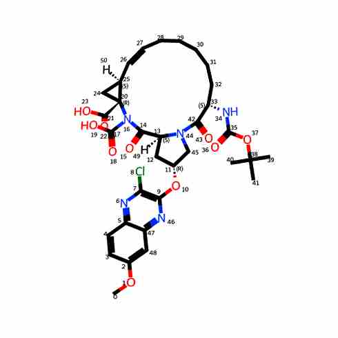 COc1ccc2nc(Cl)c(O[C@@H]3C[C@H]4C(=O)N(C(=O)O)[C@]5(C(=O)O)C[C@H]5C=CCCCCC[C@H](NC(=O)OC(C)(C)C)C(=O)N4C3)nc2c1